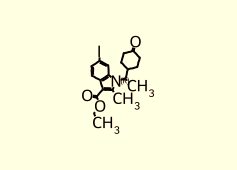 CCOC(=O)c1c(C)n([C@H](C)C2CCC(=O)CC2)c2cc(I)ccc12